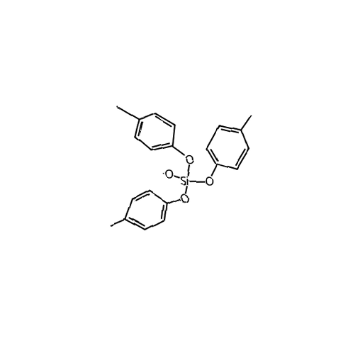 Cc1ccc(O[Si]([O])(Oc2ccc(C)cc2)Oc2ccc(C)cc2)cc1